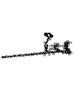 COCCOCCOCCOCCOCCOCCOCCOCCOCCOCCOCCOCCC(=O)NC[C@H](NC(=O)C1CC2(CCN(C(=O)CCCCC(=O)N3Cc4ccccc4/C=C\c4ccccc43)CC2)C1)C(=O)NCCC(=O)NCc1cc(COC(=O)N[C@H]2CCc3c(C)c(F)cc4nc5c(c2c34)Cn2c-5cc3c(c2=O)COC(=O)[C@@]3(C)O)ccc1O[C@@H]1O[C@H](C(=O)O)[C@@H](O)[C@H](O)[C@H]1O